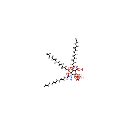 CCCCCCCCCCCCCC(=O)NC1C(OC(=O)CCCCCCCCCCCCC)[C@H](OC(=O)CCCCCCCCCCCCC)C(CO)O[C@H]1OP(=O)(O)O